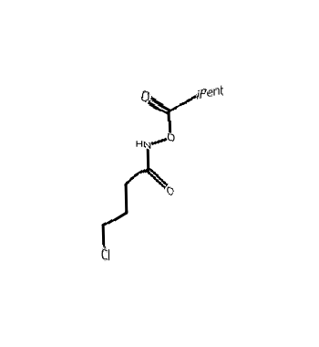 CCCC(C)C(=O)ONC(=O)CCCCl